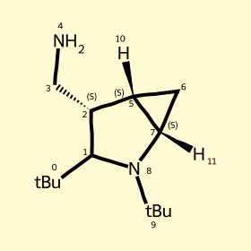 CC(C)(C)C1[C@H](CN)[C@@H]2C[C@@H]2N1C(C)(C)C